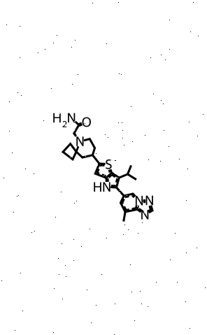 Cc1cc(-c2[nH]c3cc(C4CCN(CC(N)=O)C5(CCC5)C4)sc3c2C(C)C)cn2ncnc12